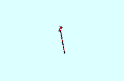 NCCOCCOCCOCCOCCOCCOCCOCCn1cc(CN2C(=O)C=CC2=O)nn1